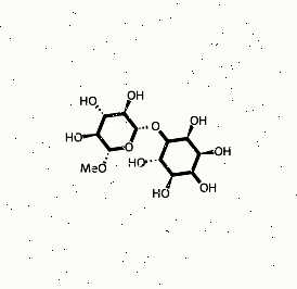 CO[C@H]1O[C@@H](OC2[C@@H](O)[C@H](O)C(O)[C@H](O)[C@@H]2O)[C@H](O)[C@@H](O)[C@@H]1O